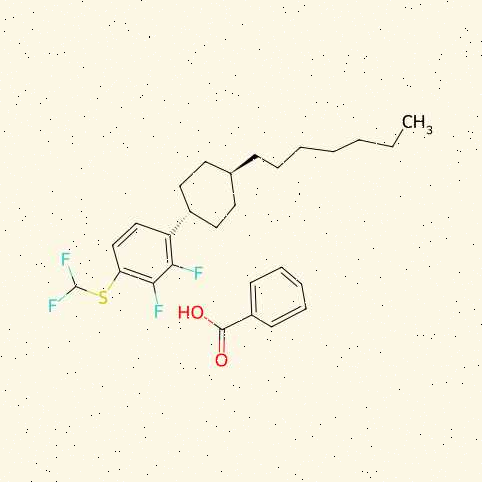 CCCCCCC[C@H]1CC[C@H](c2ccc(SC(F)F)c(F)c2F)CC1.O=C(O)c1ccccc1